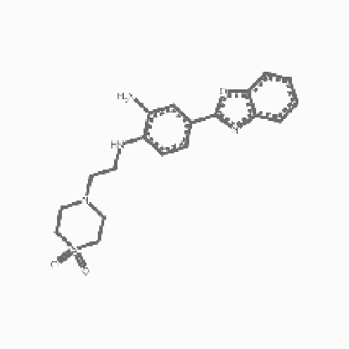 Nc1cc(-c2nc3ccccc3o2)ccc1NCCN1CCS(=O)(=O)CC1